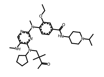 CCOc1cc(C(=O)NC2CCN(C(C)C)CC2)ccc1N(C)c1ncc(NC)c(N(CC(C)(C)C(C)=O)C2CCCC2)n1